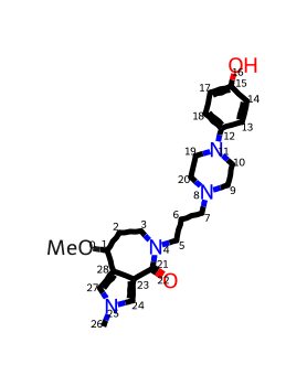 COC1CCN(CCCN2CCN(c3ccc(O)cc3)CC2)C(=O)c2cn(C)cc21